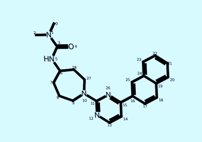 CN(C)C(=O)NC1CCCN(c2nccc(-c3ccc4ccccc4c3)n2)CC1